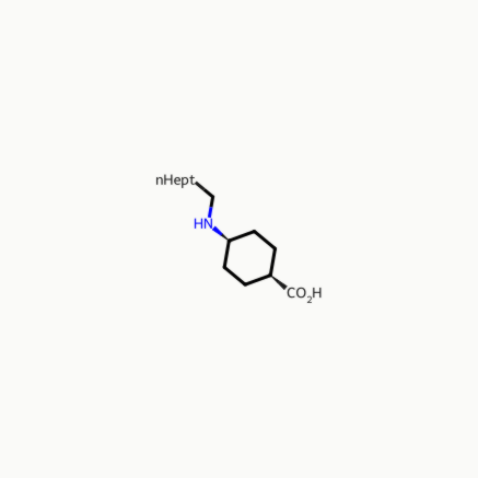 CCCCCCCCN[C@H]1CC[C@@H](C(=O)O)CC1